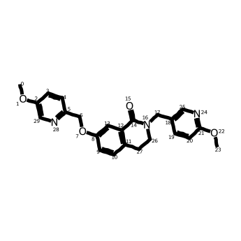 COc1ccc(COc2ccc3c(c2)C(=O)N(Cc2ccc(OC)nc2)CC3)nc1